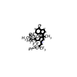 CC(C)SOC(/C=C/CC(C)(CCCC(C)(C)O[Si](C)(C)C)C1CCC2C(=O)CCC[C@@]21C)(C(F)(F)F)C(F)(F)F